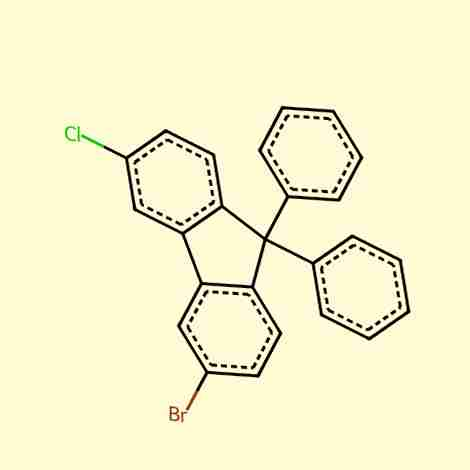 Clc1ccc2c(c1)-c1cc(Br)ccc1C2(c1ccccc1)c1ccccc1